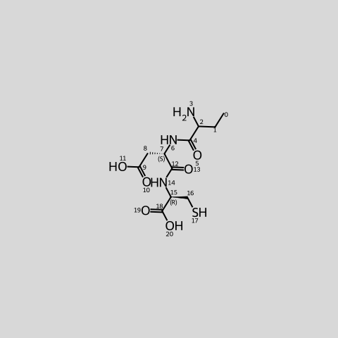 CCC(N)C(=O)N[C@@H](CC(=O)O)C(=O)N[C@@H](CS)C(=O)O